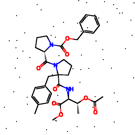 COC(=O)[C@@H](NC(=O)C1(Cc2ccc(C)cc2)CCCN1C(=O)[C@@H]1CCCN1C(=O)OCc1ccccc1)[C@@H](C)OC(C)=O